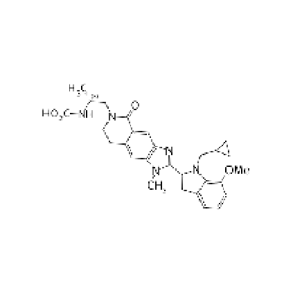 COc1cccc2cc(-c3nc4cc5c(cc4n3C)CCN(C[C@@H](C)NC(=O)O)C5=O)n(CC3CC3)c12